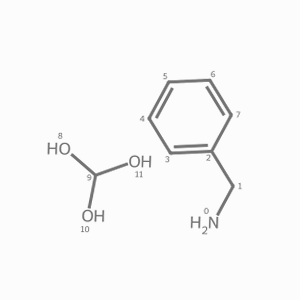 NCc1ccccc1.OC(O)O